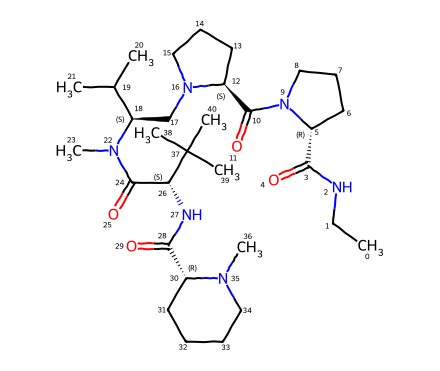 CCNC(=O)[C@H]1CCCN1C(=O)[C@@H]1CCCN1C[C@H](C(C)C)N(C)C(=O)[C@@H](NC(=O)[C@H]1CCCCN1C)C(C)(C)C